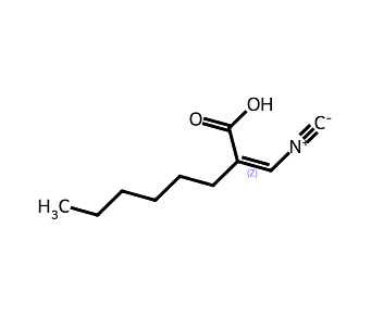 [C-]#[N+]/C=C(/CCCCCC)C(=O)O